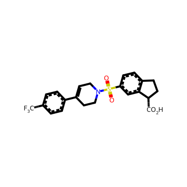 O=C(O)C1CCc2ccc(S(=O)(=O)N3CC=C(c4ccc(C(F)(F)F)cc4)CC3)cc21